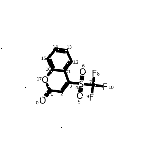 O=c1cc(S(=O)(=O)C(F)(F)F)c2ccccc2o1